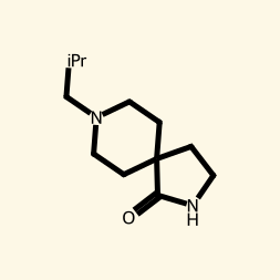 CC(C)CN1CCC2(CCNC2=O)CC1